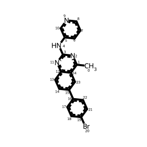 Cc1nc(Nc2cccnc2)nc2ccc(-c3ccc(Br)cc3)cc12